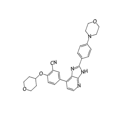 N#Cc1cc(-c2ccnc3[nH]c(-c4ccc(N5CCOCC5)cc4)nc23)ccc1OC1CCOCC1